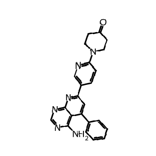 Nc1ncnc2nc(-c3ccc(N4CCC(=O)CC4)nc3)cc(-c3ccccc3)c12